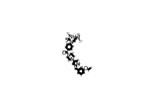 CCOc1cccc(Cn2cc(N3CCN(C(=O)[C@H]4CC[C@H](N(CCN(C)C)C(=S)NC)CC4)CC3)cn2)c1